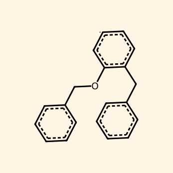 [c]1ccc(Cc2ccccc2)c(OCc2ccccc2)c1